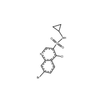 O=S(=O)(NC1CC1)c1cnc2cc(Br)ccc2c1Cl